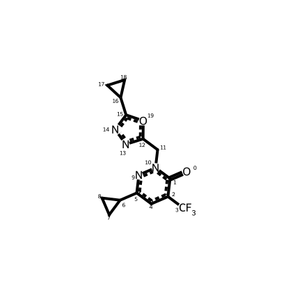 O=c1c(C(F)(F)F)cc(C2CC2)nn1Cc1nnc(C2CC2)o1